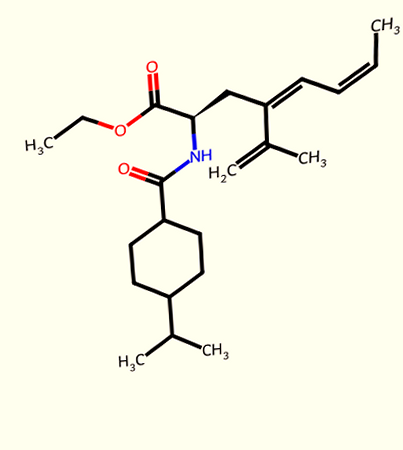 C=C(C)/C(=C\C=C/C)C[C@@H](NC(=O)C1CCC(C(C)C)CC1)C(=O)OCC